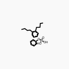 CCCCc1ccccc1CCCC.O=P(O)(O)Oc1ccccc1